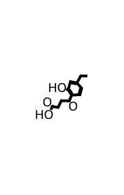 CCc1ccc(C(=O)CCC(=O)O)c(O)c1